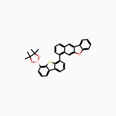 CC1(C)OB(c2cccc3c2sc2c(-c4cccc5cc6c(cc45)oc4ccccc46)cccc23)OC1(C)C